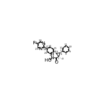 C[C@@]1(C(=O)NO)[C@H](c2ccccc2)[C@H]1c1ccc(-c2ncc(F)cn2)cc1